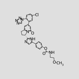 COCCNC(=O)Oc1ccc(-c2cnc([C@@H]3CCc4cc(-c5cc(Cl)ccc5-n5cnnn5)cc(=O)n43)[nH]2)cc1